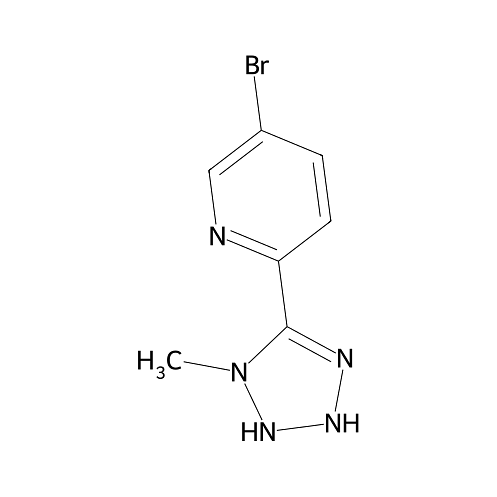 CN1NNN=C1c1ccc(Br)cn1